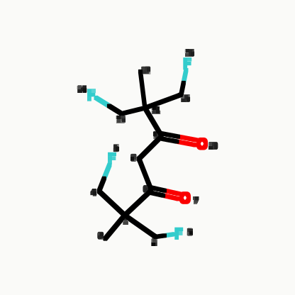 CC(CF)(CF)C(=O)CC(=O)C(C)(CF)CF